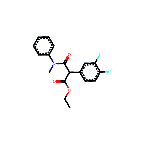 CCOC(=O)C(C(=O)N(C)c1ccccc1)c1ccc(F)c(F)c1